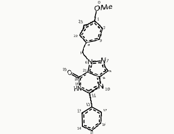 COc1ccc(Cn2ncc3nc(-c4ccccc4)[nH]c(=O)c32)cc1